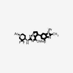 COc1nc(N[C@@H]2CCN(C(C)=O)CC2(F)F)nn2ccc(-c3cc(F)c4nc(C)n(C(C)C)c4c3)c12